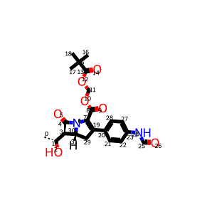 C[C@@H](O)[C@H]1C(=O)N2C(C(=O)OCOC(=O)C(C)(C)C)=C(c3ccc(NC=O)cc3)C[C@H]12